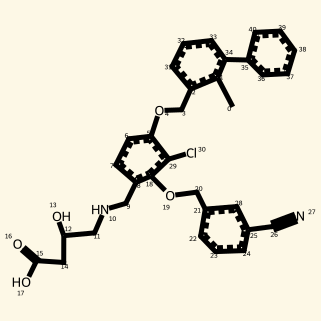 Cc1c(COc2ccc(CNCC(O)CC(=O)O)c(OCc3cccc(C#N)c3)c2Cl)cccc1-c1ccccc1